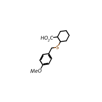 COc1ccc(CSC2CCCCC2C(=O)O)cc1